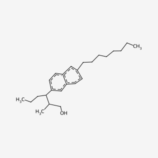 CCCCCCCCc1ccc2cc(C(CCC)C(C)CO)ccc2c1